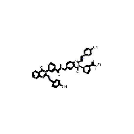 CCNC(=O)c1cccc(-n2c(/C=C/c3ccc(C#N)cc3)nc3ccc(CNC(=O)c4cccc(-n5c(/C=C/c6ccc(C#N)cc6)nc6ccccc6c5=O)c4)cc3c2=O)c1